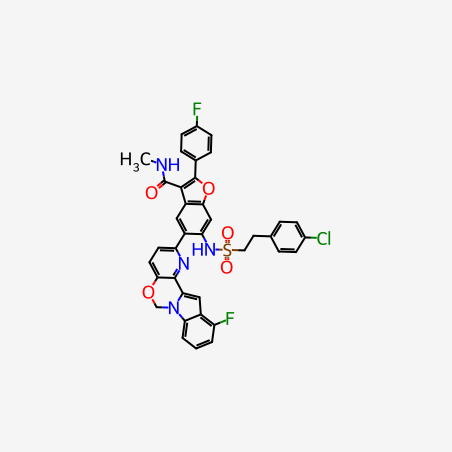 CNC(=O)c1c(-c2ccc(F)cc2)oc2cc(NS(=O)(=O)CCc3ccc(Cl)cc3)c(-c3ccc4c(n3)-c3cc5c(F)cccc5n3CO4)cc12